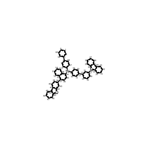 c1ccc(-c2ccc(N(c3ccc(-c4cccc(-n5c6ccccc6c6ccccc65)c4)cc3)c3ccc(-c4ccc5c(c4)oc4ccccc45)c4ccccc34)cc2)cc1